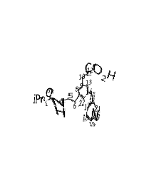 CC(C)CC(=O)NCCc1cc(CCC(=O)O)cc(Cc2cccnc2)c1